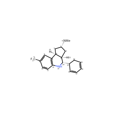 CN[C@@H]1C[C@@H]2[C@H](C1)c1cc(C(F)(F)F)ccc1N[C@H]2C1C=CC=CC1